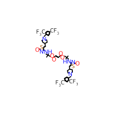 CC(C)(CNC1=NC(=O)SC1=CC1CCN(Cc2ccc(C(F)(F)F)cc2C(F)(F)F)CC1)COC(=O)/C=C/C(=O)OCC(C)(C)CNC1=NC(=O)SC1=CC1CCN(Cc2ccc(C(F)(F)F)cc2C(F)(F)F)CC1